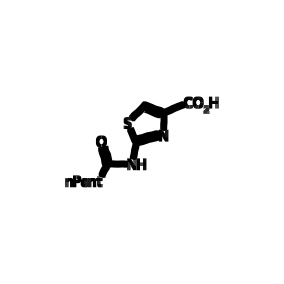 CCCCCC(=O)Nc1nc(C(=O)O)cs1